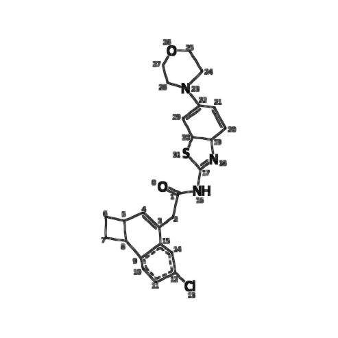 O=C(CC1=CC2CCC2c2ccc(Cl)cc21)NC1=NC2C=CC(N3CCOCC3)=CC2S1